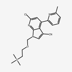 Cc1cccc(-c2cc(Cl)nc3c2c(C#N)cn3COCCS(C)(C)C)n1